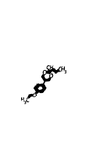 CCC[C@]1(C)OC[C@@H](c2ccc(OCC)cc2)CO1